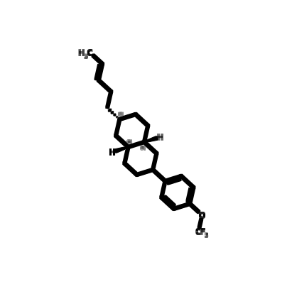 CC=CCC[C@@H]1CC[C@@H]2CC(c3ccc(OC(F)(F)F)cc3)CC[C@@H]2C1